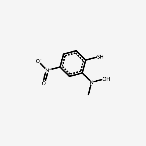 CN(O)c1cc([N+](=O)[O-])ccc1S